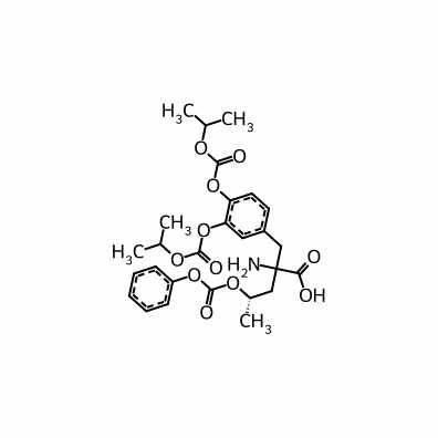 CC(C)OC(=O)Oc1ccc(CC(N)(C[C@H](C)OC(=O)Oc2ccccc2)C(=O)O)cc1OC(=O)OC(C)C